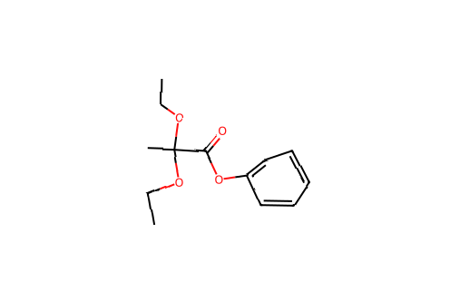 CCOC(C)(OCC)C(=O)Oc1ccccc1